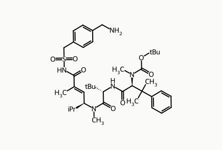 C/C(=C\[C@H](C(C)C)N(C)C(=O)[C@@H](NC(=O)[C@@H](N(C)C(=O)OC(C)(C)C)C(C)(C)c1ccccc1)C(C)(C)C)C(=O)NS(=O)(=O)Cc1ccc(CN)cc1